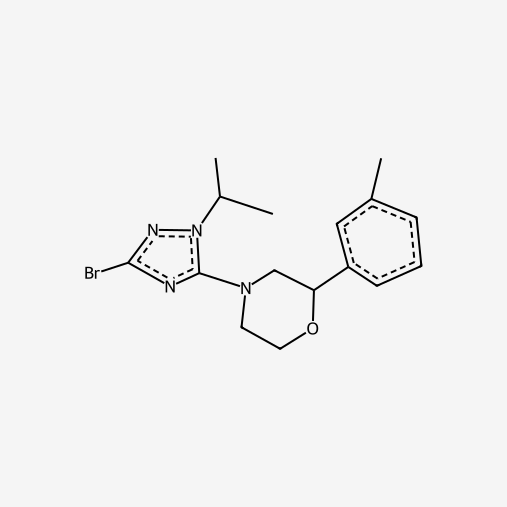 Cc1cccc(C2CN(c3nc(Br)nn3C(C)C)CCO2)c1